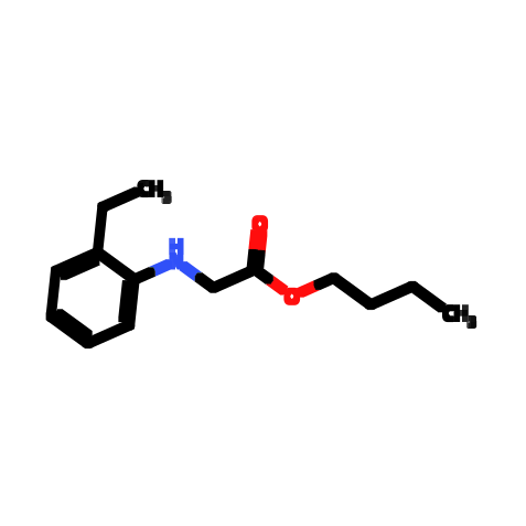 CCCCOC(=O)CNc1ccccc1CC